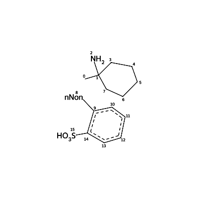 CC1(N)CCCCC1.CCCCCCCCCc1ccccc1S(=O)(=O)O